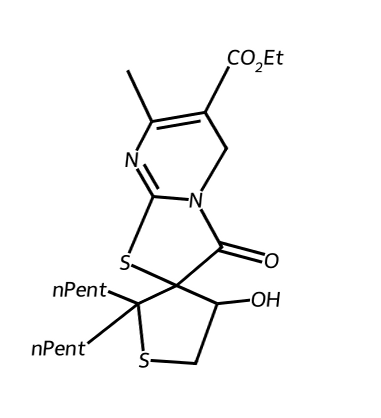 CCCCCC1(CCCCC)SCC(O)C12SC1=NC(C)=C(C(=O)OCC)CN1C2=O